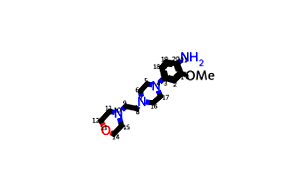 COc1cc(N2CCN(CCN3CCOCC3)CC2)ccc1N